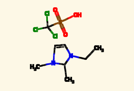 CCN1C=CN(C)C1C.O=S(=O)(O)C(Cl)(Cl)Cl